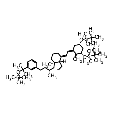 C=C1/C(=C\C=C2/CCC[C@]3(C)[C@@H]([C@H](C)CCc4cccc(C(C)(C)O[Si](C)(C)C)c4)CC[C@@H]23)C[C@@H](O[Si](C)(C)C(C)(C)C)C[C@@H]1O[Si](C)(C)C(C)(C)C